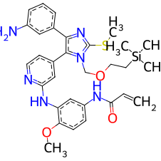 C=CC(=O)Nc1ccc(OC)c(Nc2cc(-c3c(-c4cccc(N)c4)nc(SC)n3COCC[Si](C)(C)C)ccn2)c1